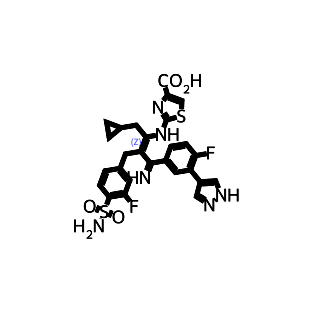 N=C(/C(Cc1ccc(S(N)(=O)=O)c(F)c1)=C(/CC1CC1)Nc1nc(C(=O)O)cs1)c1ccc(F)c(-c2cn[nH]c2)c1